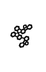 c1ccc2c(c1)-c1ccc(-c3cccc4oc5ccccc5c34)cc1C21c2ccccc2-c2c1ccc1c2oc2ccccc21